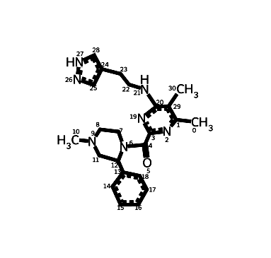 Cc1nc(C(=O)N2CCN(C)CC2c2ccccc2)nc(NCCc2cn[nH]c2)c1C